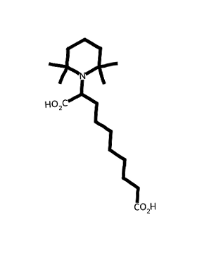 CC1(C)CCCC(C)(C)N1C(CCCCCCCC(=O)O)C(=O)O